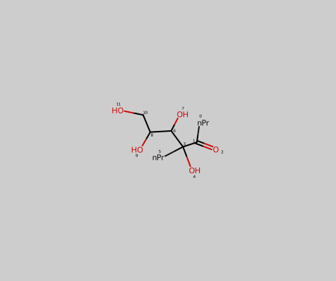 CCCC(=O)C(O)(CCC)C(O)C(O)CO